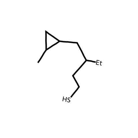 CCC(CCS)CC1CC1C